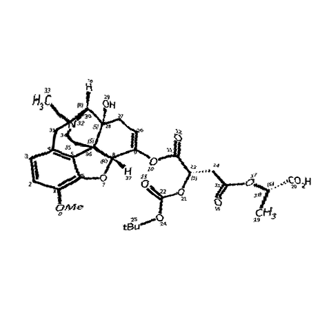 COc1ccc2c3c1O[C@H]1C(OC(=O)[C@H](CC(=O)O[C@@H](C)C(=O)O)OC(=O)OC(C)(C)C)=CC[C@@]4(O)[C@@H](C2)N(C)CC[C@]314